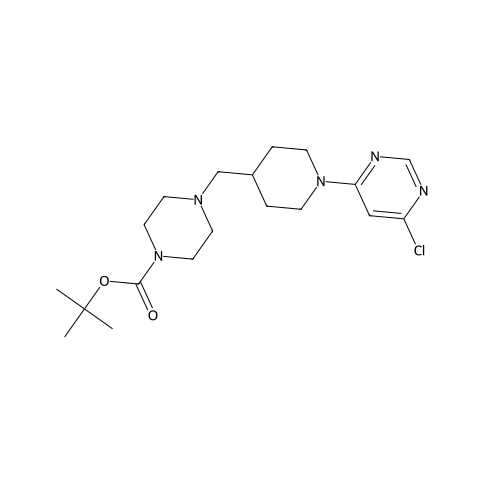 CC(C)(C)OC(=O)N1CCN(CC2CCN(c3cc(Cl)ncn3)CC2)CC1